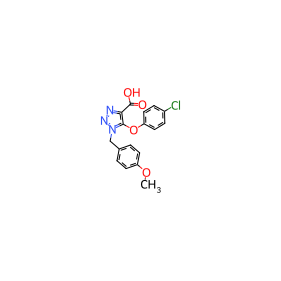 COc1ccc(Cn2nnc(C(=O)O)c2Oc2ccc(Cl)cc2)cc1